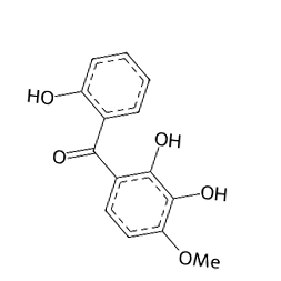 COc1ccc(C(=O)c2ccccc2O)c(O)c1O